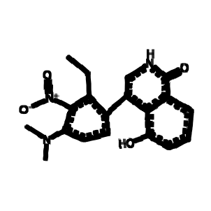 CCc1c(-c2c[nH]c(=O)c3cccc(O)c23)ccc(N(C)C)c1[N+](=O)[O-]